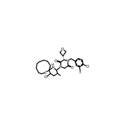 CC1CC(Cl)C2(CCCCCCCCC2)NC1N1CC(=O)N(Cc2ccc(Cl)c(F)c2)[C@@H](C2COC2)C1=O